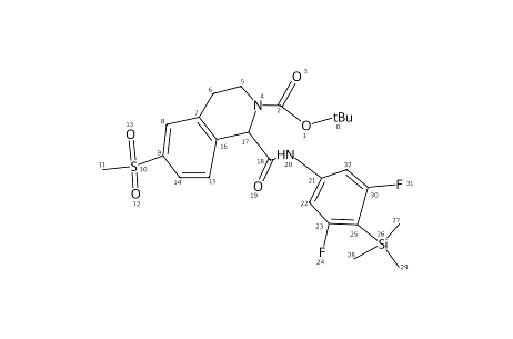 CC(C)(C)OC(=O)N1CCc2cc(S(C)(=O)=O)ccc2C1C(=O)Nc1cc(F)c([Si](C)(C)C)c(F)c1